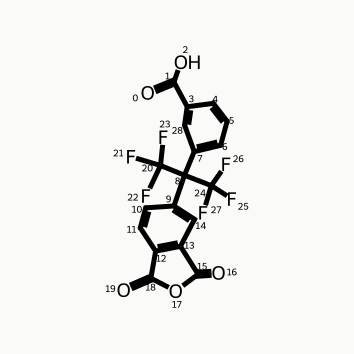 O=C(O)c1cccc(C(c2ccc3c(c2)C(=O)OC3=O)(C(F)(F)F)C(F)(F)F)c1